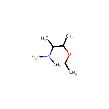 CCOC(C)C(C)N(C)C